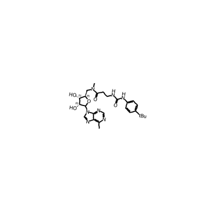 Cc1ncnc2c1ncn2C1O[C@H](CN(C)C(=O)CCNC(=O)Nc2ccc(C(C)(C)C)cc2)[C@@H](O)[C@H]1O